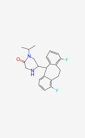 CC(C)N1CC(C2c3cccc(F)c3CCc3c(F)cccc32)NCC1=O